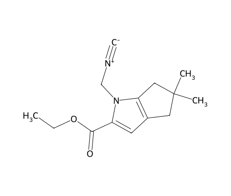 [C-]#[N+]Cn1c(C(=O)OCC)cc2c1CC(C)(C)C2